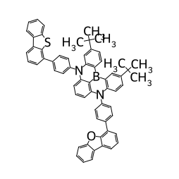 CC(C)(C)c1ccc2c(c1)B1c3ccc(C(C)(C)C)cc3N(c3ccc(-c4cccc5c4sc4ccccc45)cc3)c3cccc(c31)N2c1ccc(-c2cccc3c2oc2ccccc23)cc1